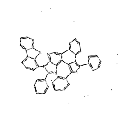 c1ccc(-c2sc(-c3ccccc3)c3c2c2ccccc2c2cnc4c(nc(-c5ccccc5)n4-c4cccc5c4sc4ccccc45)c23)cc1